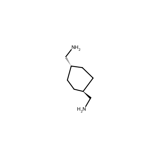 NC[C@H]1CC[C@H](CN)CC1